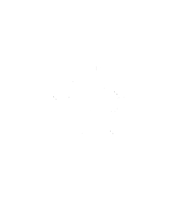 CN(C)S(=O)(=O)c1cc([N+](=O)[O-])cc(Br)c1N